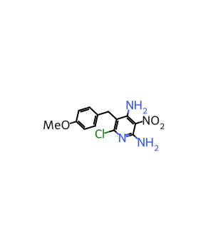 COc1ccc(Cc2c(Cl)nc(N)c([N+](=O)[O-])c2N)cc1